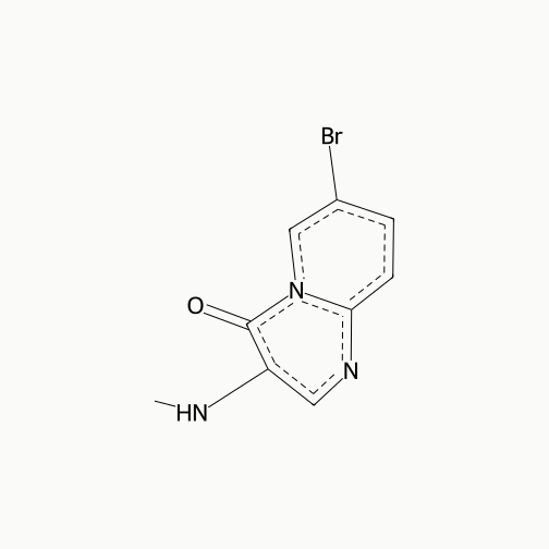 CNc1cnc2ccc(Br)cn2c1=O